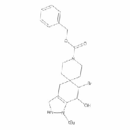 CC(C)(C)N1NCC2=C1C(O)C(Br)C1(CCN(C(=O)OCc3ccccc3)CC1)C2